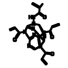 C=CC(=O)N1c2nc3nc(n2)n(C(=O)C=C)c2nc(n3C(=O)C=C)N(NC(=O)C(=C)C)C1N=2